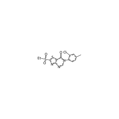 CCS(=O)(=O)c1nc2ncn(-c3ccc(C)cc3Cl)c(=O)c2s1